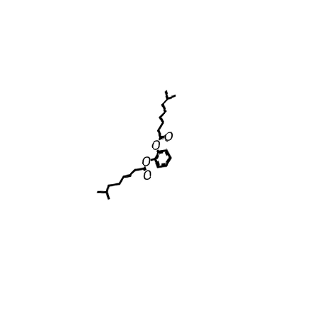 CC(C)CCCCCC(=O)Oc1ccccc1OC(=O)CCCCCC(C)C